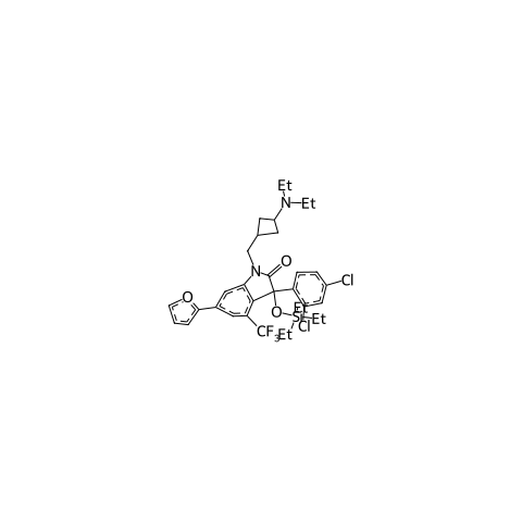 CCN(CC)C1CC(CN2C(=O)C(O[Si](CC)(CC)CC)(c3ccc(Cl)cc3Cl)c3c2cc(-c2ccco2)cc3C(F)(F)F)C1